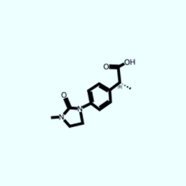 C[C@@H](C(=O)O)c1ccc(N2CCN(C)C2=O)cc1